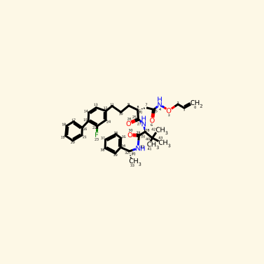 C=CCONC(=O)C[C@@H](CCCc1ccc(-c2ccccc2)c(F)c1)C(=O)N[C@H](C(=O)N[C@H](C)c1ccccc1)C(C)(C)C